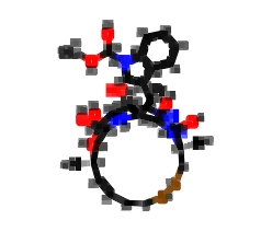 CC(C)[C@H]1NC(=O)[C@H]2CSSCCC=C[C@H](CC(=O)N[C@H](Cc3cn(C(=O)OC(C)(C)C)c4ccccc34)C(=O)N2)OC(=O)C[C@@H]1O